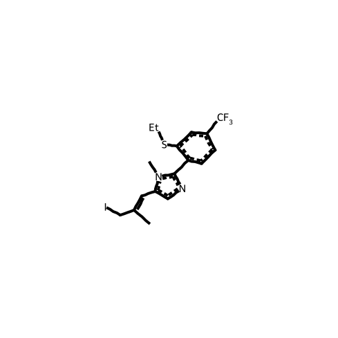 CCSc1cc(C(F)(F)F)ccc1-c1ncc(/C=C(\C)CI)n1C